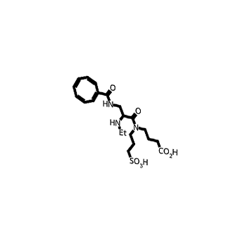 CCNC(CNC(=O)C1=C/C=C\C=C/C=C\1)C(=O)N(CCCC(=O)O)CCCS(=O)(=O)O